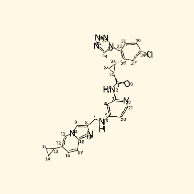 O=C(Nc1cc(NCc2cn3cc(C4CC4)ccc3n2)ccn1)[C@H]1C[C@@H]1c1cc(Cl)ccc1-n1cnnn1